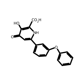 O=C(O)c1[nH]c(-c2cccc(Oc3ccccc3)c2)cc(=O)c1O